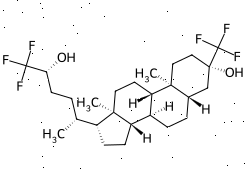 C[C@H](CC[C@@H](O)C(F)(F)F)[C@H]1CC[C@H]2[C@@H]3CC[C@H]4C[C@](O)(C(F)(F)F)CC[C@]4(C)[C@H]3CC[C@]12C